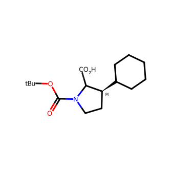 CC(C)(C)OC(=O)N1CC[C@H](C2CCCCC2)C1C(=O)O